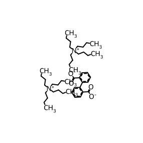 CCCC[N+](CCCC)(CCCC)CCCC.CCCC[N+](CCCC)(CCCC)CCCC.O=C([O-])c1ccccc1-c1ccccc1C(=O)[O-]